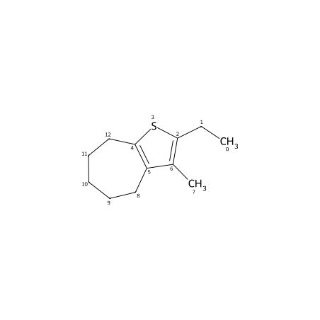 CCc1sc2c(c1C)CCCCC2